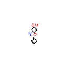 Oc1ccc2c(c1)N=CC(c1ccccc1)O2